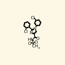 CS(=O)(=O)NC(=O)c1cn(-c2cccc(Cl)c2)c(-c2ccccc2Cl)n1